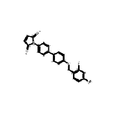 CCCc1ccc(COc2ccc(-c3ccc(N4C(=O)C=CC4=O)cc3)cc2)c(F)c1